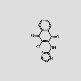 O=C1C(Cl)=C(Nc2nccs2)C(=O)c2ccccc21